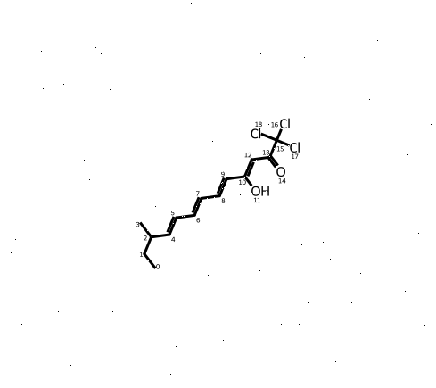 CCC(C)C=CC=CC=CC(O)=CC(=O)C(Cl)(Cl)Cl